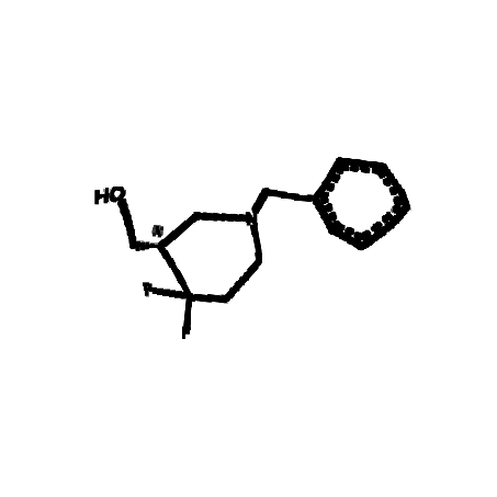 OC[C@@H]1CN(Cc2ccccc2)CCC1(F)F